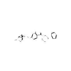 CN1C[C@@H]2N([SH](F)Nc3ccc(C(=O)N4CCO[C@@H](c5ccccc5)C4)c(Cl)c3)C[C@H]1C2(C)C